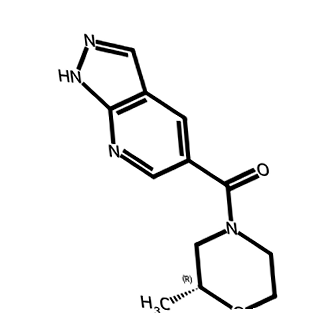 C[C@@H]1CN(C(=O)c2cnc3[nH]ncc3c2)CCO1